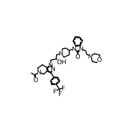 CC(=O)N1CCc2c(c(-c3ccc(C(F)(F)F)cc3)nn2CC(O)CN2CCC(n3c(=O)n(CCN4CCOCC4)c4ccccc43)CC2)C1